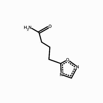 NC(=O)CCCc1ncno1